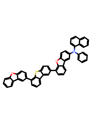 c1ccc(N(c2ccc3oc4c(-c5ccc6sc7c(-c8ccc9oc%10ccccc%10c9c8)cccc7c6c5)cccc4c3c2)c2cccc3ccccc23)cc1